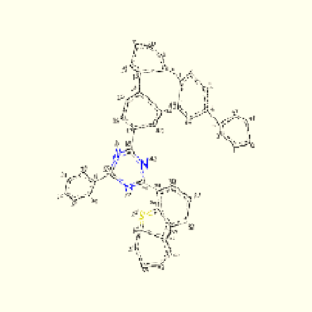 c1ccc(-c2ccc(-c3ccccc3-c3ccc(-c4nc(-c5ccccc5)nc(-c5cccc6c5sc5ccccc56)n4)cc3)cc2)cc1